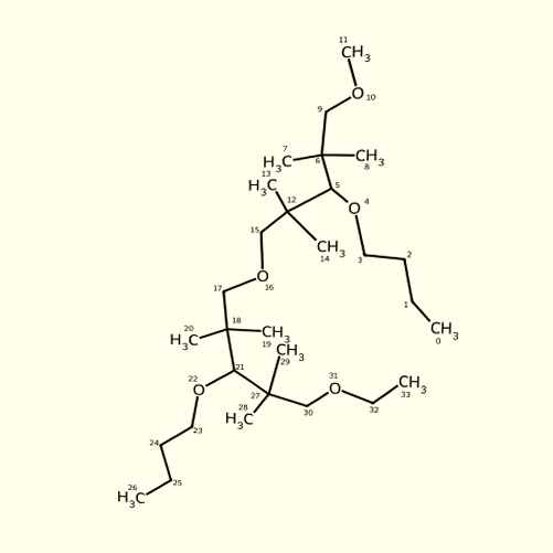 CCCCOC(C(C)(C)COC)C(C)(C)COCC(C)(C)C(OCCCC)C(C)(C)COCC